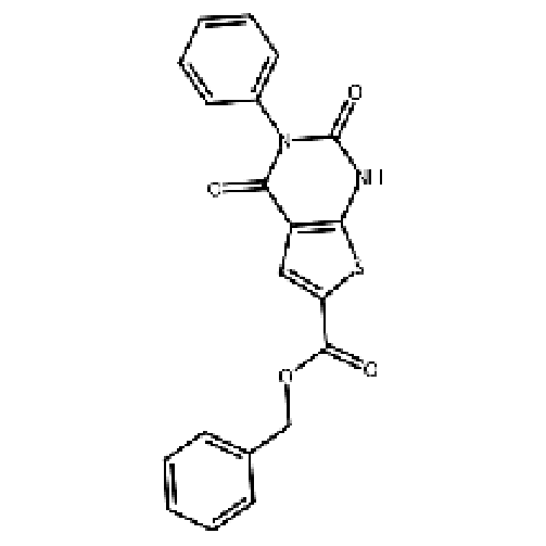 O=C(OCc1ccccc1)c1cc2c(=O)n(-c3ccccc3)c(=O)[nH]c2s1